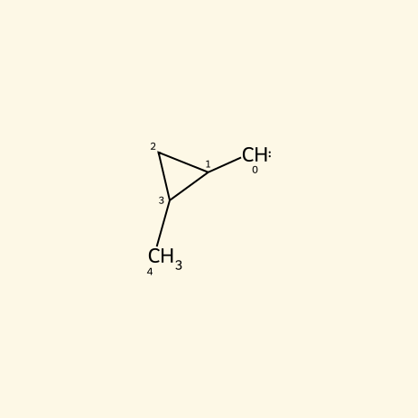 [CH]C1CC1C